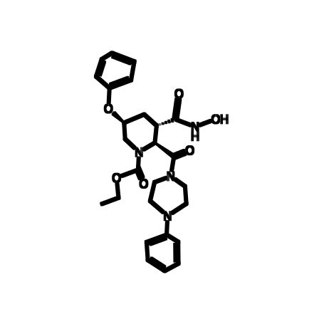 CCOC(=O)N1C[C@@H](Oc2ccccc2)C[C@H](C(=O)NO)[C@H]1C(=O)N1CCN(c2ccccc2)CC1